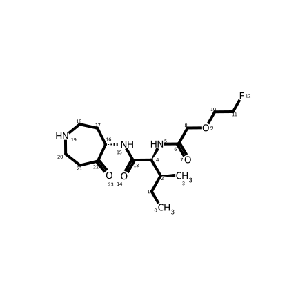 CC[C@H](C)[C@H](NC(=O)COCCF)C(=O)N[C@H]1CCNCCC1=O